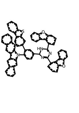 c1ccc2cc3c(cc2c1)c1cc2ccccc2cc1n3-c1ccc(C2N=C(c3cccc4oc5ccccc5c34)N=C(c3cccc4oc5ccccc5c34)N2)cc1-c1ccc2c(c1)sc1ccccc12